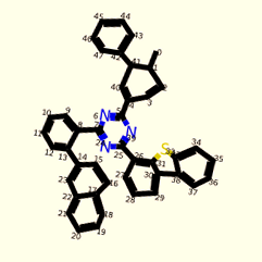 CC1C=CC(c2nc(-c3ccccc3-c3ccc4ccccc4c3)nc(-c3cccc4c3sc3ccccc34)n2)=CC1c1ccccc1